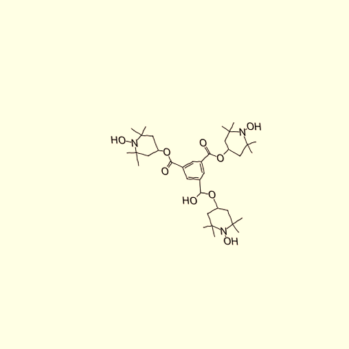 CC1(C)CC(OC(=O)c2cc(C(=O)OC3CC(C)(C)N(O)C(C)(C)C3)cc(C(O)OC3CC(C)(C)N(O)C(C)(C)C3)c2)CC(C)(C)N1O